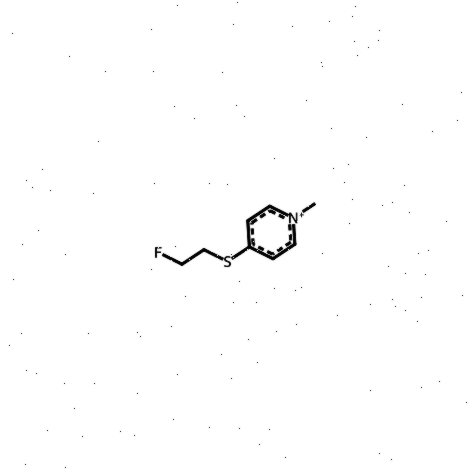 C[n+]1ccc(SCCF)cc1